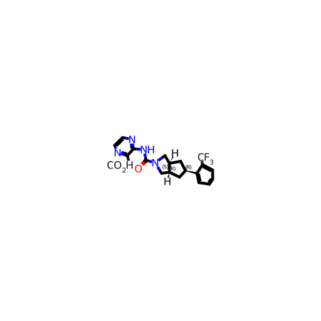 O=C(O)c1nccnc1NC(=O)N1C[C@H]2C[C@@H](c3ccccc3C(F)(F)F)C[C@H]2C1